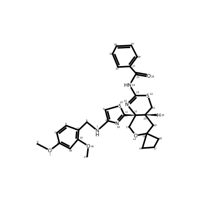 COc1ccc(CNc2csc([C@]34COC5(CCC5)C[C@H]3CSC(NC(=O)c3ccccc3)=N4)n2)c(OC)c1